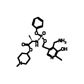 Cc1ncc(CO[P@@](=O)(N[C@@H](C)C(=O)OC2CCN(C)CC2)Oc2ccccc2)c(CN)c1O